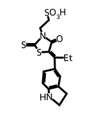 CCC(=C1SC(=S)N(CCS(=O)(=O)O)C1=O)c1ccc2c(c1)CCN2